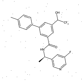 Cc1ccc(-c2cc(C(=O)N[C@H](C)c3cncc(F)c3)cc(C(O)C(F)(F)F)c2)cc1